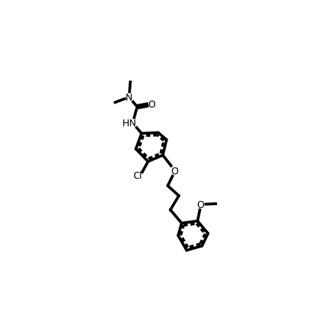 COc1ccccc1CCCOc1ccc(NC(=O)N(C)C)cc1Cl